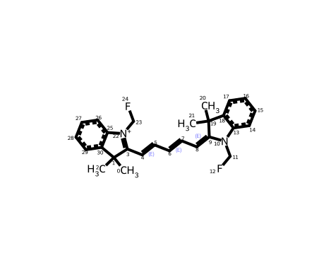 CC1(C)C(/C=C/C=C/C=C2/N(CF)c3ccccc3C2(C)C)=[N+](CF)c2ccccc21